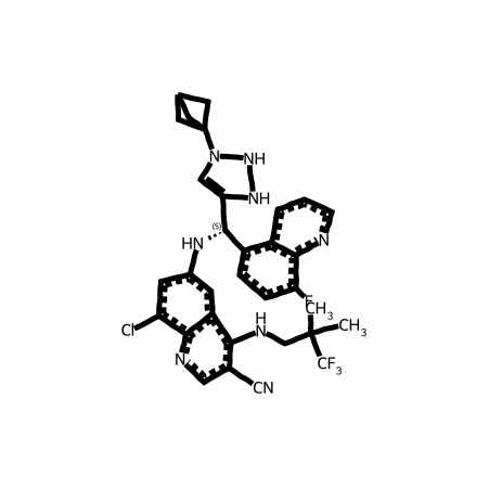 CC(C)(CNc1c(C#N)cnc2c(Cl)cc(N[C@H](C3=CN(C45CC(C4)C5)NN3)c3ccc(F)c4ncccc34)cc12)C(F)(F)F